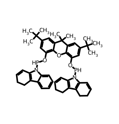 CC(C)(C)c1cc(OPn2c3c(c4c2C=CCC4)CCC=C3)c2c(c1)C(C)(C)c1cc(C(C)(C)C)cc(OPn3c4c(c5ccccc53)CCC=C4)c1O2